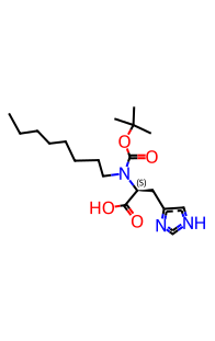 CCCCCCCCN(C(=O)OC(C)(C)C)[C@@H](Cc1c[nH]cn1)C(=O)O